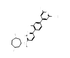 C[C@@H]1CC[C@H](C)C[C@@H](N(C)c2ccc(-c3ccc(-c4cc(O)nc(F)c4)cc3O)nn2)C1